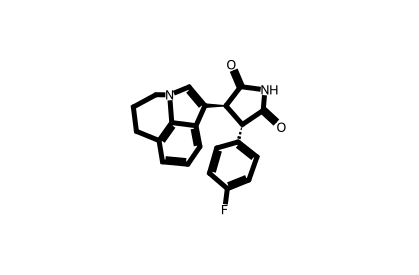 O=C1NC(=O)[C@H](c2cn3c4c(cccc24)CCC3)[C@H]1c1ccc(F)cc1